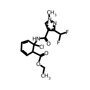 CCOC(=O)C1C=CC=CC1(Cl)NC(=O)c1cn(C)nc1C(F)F